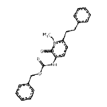 Cn1c(CCc2ccccc2)ccc(NC(=O)OCc2ccccc2)c1=O